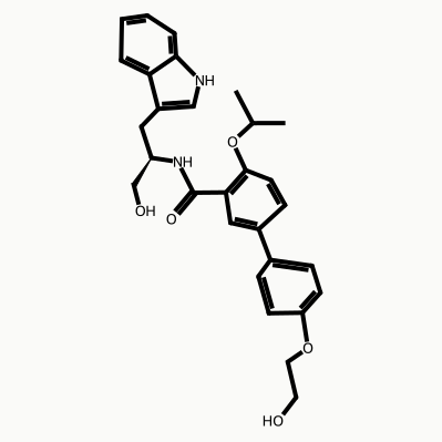 CC(C)Oc1ccc(-c2ccc(OCCO)cc2)cc1C(=O)N[C@@H](CO)Cc1c[nH]c2ccccc12